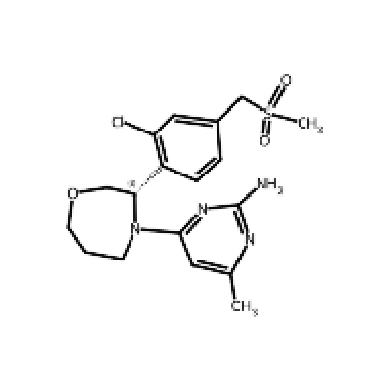 Cc1cc(N2CCCOC[C@@H]2c2ccc(CS(C)(=O)=O)cc2Cl)nc(N)n1